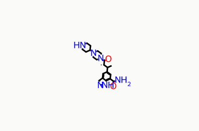 CC([CH]C(=O)N1CCN(C2CCNCC2)CC1)c1cc(C(N)=O)c2[nH]ncc2c1